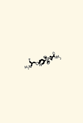 NC/C(=C/F)COc1ccc(S(=O)(=O)N2CC(C(N)=O)C2)cn1